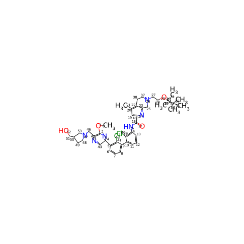 COc1nc(-c2cccc(-c3cccc(NC(=O)c4cc(C)c5c(n4)CN(CCO[Si](C)(C)C(C)(C)C)CC5)c3Cl)c2Cl)cnc1CN1CCC(CO)C1